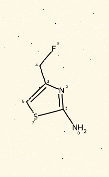 Nc1nc(CF)cs1